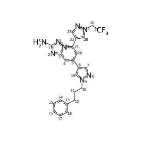 Nc1nc2cc(-c3cnn(CCCc4ccccc4)c3)cc(-c3cnn(CC(F)(F)F)c3)n2n1